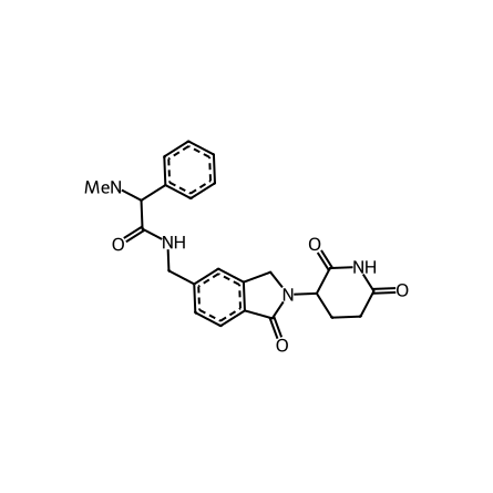 CNC(C(=O)NCc1ccc2c(c1)CN(C1CCC(=O)NC1=O)C2=O)c1ccccc1